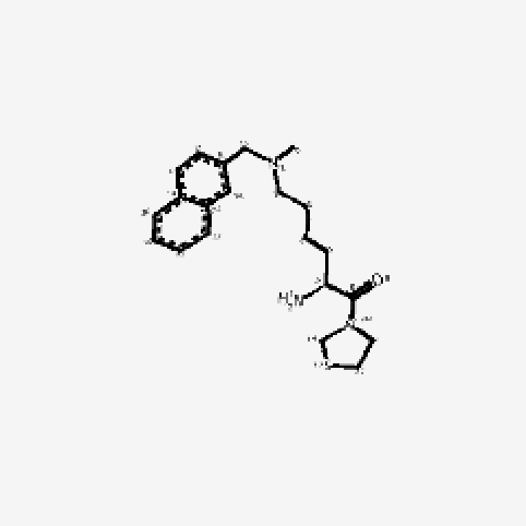 CN(CCCC[C@H](N)C(=O)N1CCSC1)Cc1ccc2ccccc2c1